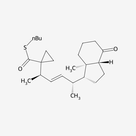 CCCCSC(=O)C1([C@H](C)/C=C/[C@@H](C)[C@H]2CC[C@H]3C(=O)CCC[C@]23C)CC1